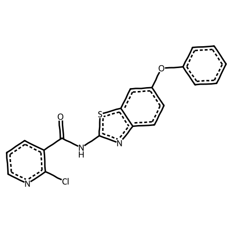 O=C(Nc1nc2ccc(Oc3ccccc3)cc2s1)c1cccnc1Cl